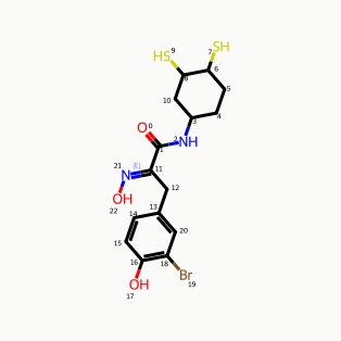 O=C(NC1CCC(S)C(S)C1)/C(Cc1ccc(O)c(Br)c1)=N/O